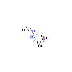 Cc1cc2cc(n1)-c1cnn(C)c1OCCC[C@@H](C1CC1)CN1/C(=N/C2=O)Nc2ccc(N[C@H]3C[C@H](N(C)C)C3)cc21